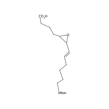 CCCCCCCCCCCCCC=CC1OC1CCCC(=O)O